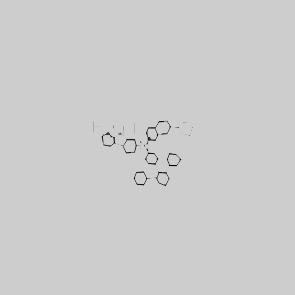 CC1(C)c2ccccc2-c2ccc(N(c3ccc(-c4c(-c5ccccc5)cccc4-c4ccccc4)cc3)c3ccc4ccc(C5CCCCC5)cc4c3)cc21